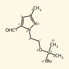 Cc1cc(C=O)n(CCO[Si](C)(C)C(C)(C)C)n1